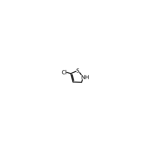 ClC1=CCNS1